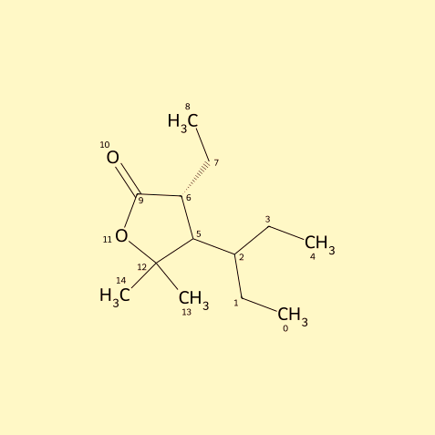 CCC(CC)C1[C@@H](CC)C(=O)OC1(C)C